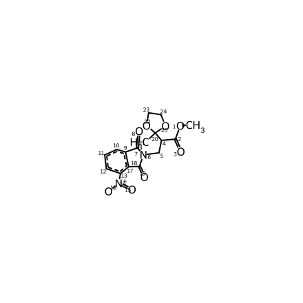 COC(=O)C(CN1C(=O)c2cccc([N+](=O)[O-])c2C1=O)C1(C)OCCO1